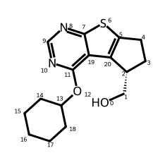 OC[C@H]1CCc2sc3ncnc(OC4CCCCC4)c3c21